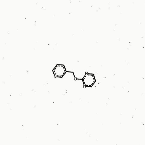 [c]1ccnc(OCc2cccnc2)n1